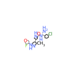 Cc1cnc(N[C@H]2CCOC[C@@H]2F)cc1-c1c[nH]c(C(=O)N[C@H](CN)c2cccc(Cl)c2)c1